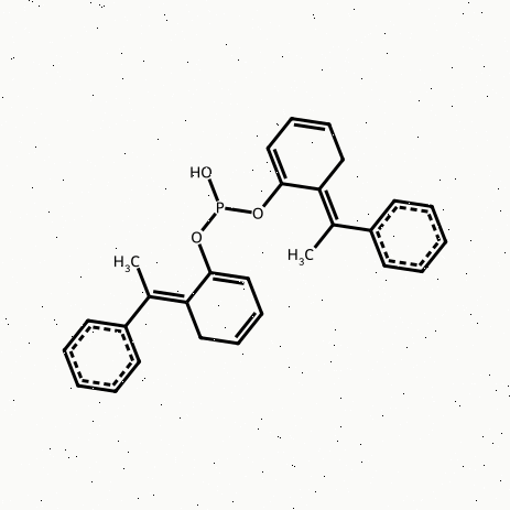 CC(=C1CC=CC=C1OP(O)OC1=CC=CCC1=C(C)c1ccccc1)c1ccccc1